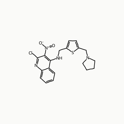 O=[N+]([O-])c1c(Cl)nc2ccccc2c1NCc1ccc(CN2CCCC2)s1